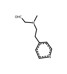 CN(CC=O)CCc1ccncc1